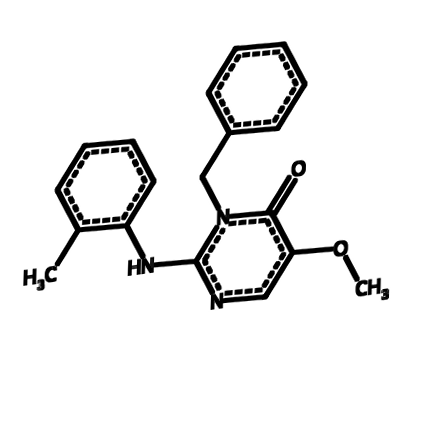 COc1cnc(Nc2ccccc2C)n(Cc2ccccc2)c1=O